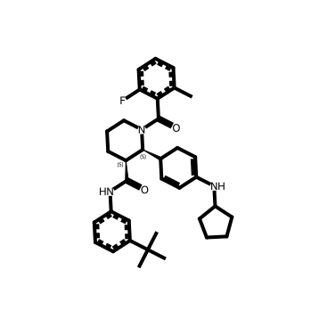 Cc1cccc(F)c1C(=O)N1CCC[C@H](C(=O)Nc2cccc(C(C)(C)C)c2)[C@@H]1C1C=CC(NC2CCCC2)=CC1